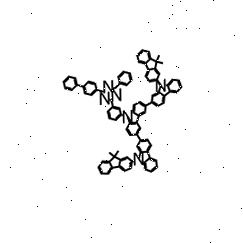 CC1(C)c2ccccc2-c2ccc(-n3c4ccccc4c4ccc(-c5ccc6c(c5)c5cc(-c7ccc8c9ccccc9n(-c9ccc%10c(c9)C(C)(C)c9ccccc9-%10)c8c7)ccc5n6-c5cccc(-c6nc(-c7ccccc7)nc(-c7ccc(-c8ccccc8)cc7)n6)c5)cc43)cc21